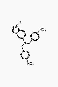 CCn1ncc2cc(N(Cc3ccc([N+](=O)[O-])cc3)Cc3ccc([N+](=O)[O-])cc3)ccc21